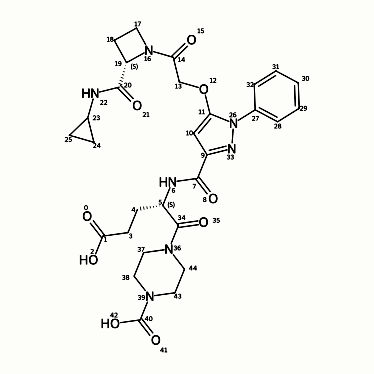 O=C(O)CC[C@H](NC(=O)c1cc(OCC(=O)N2CC[C@H]2C(=O)NC2CC2)n(-c2ccccc2)n1)C(=O)N1CCN(C(=O)O)CC1